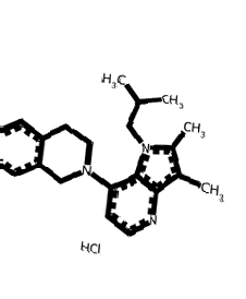 Cc1c(C)n(CC(C)C)c2c(N3CCc4ccccc4C3)ccnc12.Cl